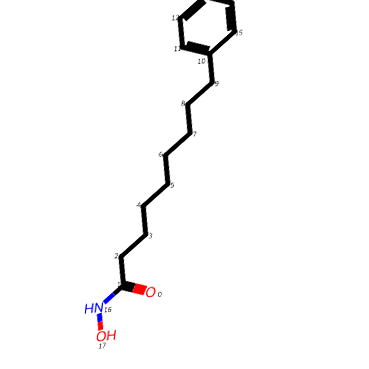 O=C(CCCCCCC[CH]c1ccccc1)NO